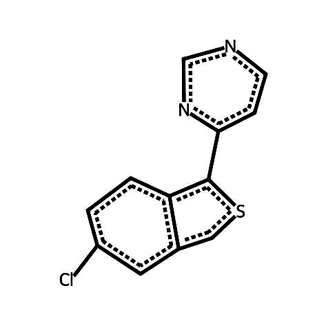 Clc1ccc2c(-c3ccncn3)scc2c1